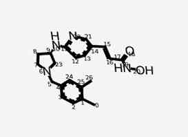 Cc1ccc(CN2CC[C@@H](Nc3ccc(C=CC(=O)NO)cn3)C2)cc1C